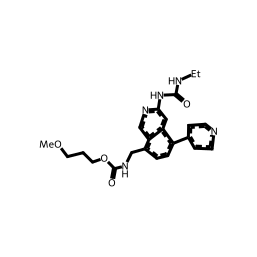 CCNC(=O)Nc1cc2c(-c3ccncc3)ccc(CNC(=O)OCCCOC)c2cn1